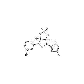 Cc1c[nH]c([C@H]2O[C@@H](c3cccc(Br)c3)[C@@H]3OC(C)(C)O[C@H]32)n1